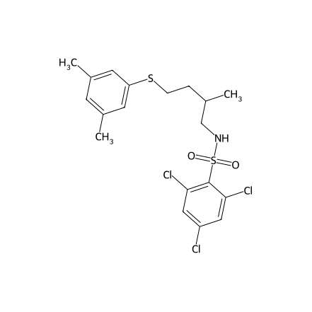 Cc1cc(C)cc(SCCC(C)CNS(=O)(=O)c2c(Cl)cc(Cl)cc2Cl)c1